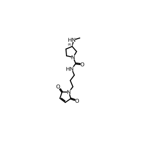 CN[C@@H]1CCN(C(=O)NCCCN2C(=O)C=CC2=O)C1